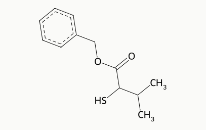 CC(C)C(S)C(=O)OCc1ccccc1